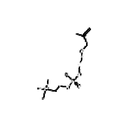 C=C(C)COCCOP(=O)([O-])OCC[N+](C)(C)C